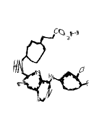 O=C(O)CCC1CCC(Nc2ncc3ncnc(Nc4ccc(F)c(Cl)c4)c3n2)CC1